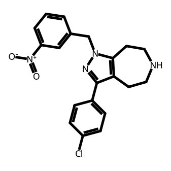 O=[N+]([O-])c1cccc(Cn2nc(-c3ccc(Cl)cc3)c3c2CCNCC3)c1